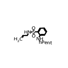 C=CCNS(=O)(=O)c1ccccc1NCCCCC